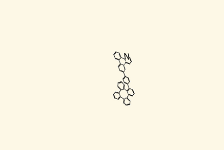 c1ccc2c(c1)-c1ccccc1-c1cccc(-c3ccc(-c4ccc5c6ccccc6c6ncccc6c5c4)cc3)c1-c1ccccc1-2